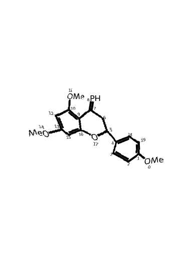 COc1ccc(C2CC(=P)c3c(OC)cc(OC)cc3O2)cc1